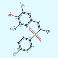 CC(C)(C)c1cc(C=C(C#N)S(=O)(=O)c2ccc(Cl)cc2)cc([N+](=O)[O-])c1O